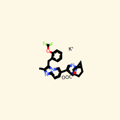 Cc1nc2ccc(-c3cnc(C45CCC(C(=O)[O-])CC4C5)nc3)cn2c1Cc1ccccc1OC(F)F.[K+]